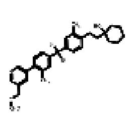 CCC(CC)(c1ccc(CCC2(O)CCCCC2)c(C)c1)c1ccc(-c2cncc(COC=O)c2)c(C)c1